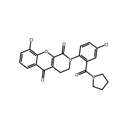 O=C(c1cc(Cl)ccc1N1CCc2c(oc3c(Cl)cccc3c2=O)C1=O)N1CCCC1